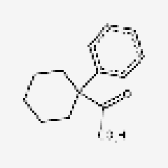 O=C(O)C(=O)C1(c2ccccc2)CCCCC1